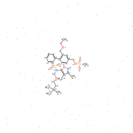 CCOCc1cc(COS(C)(=O)=O)ccc1-c1ccccc1S(=O)(=O)N(COCC[Si](C)(C)C)c1onc(C)c1C